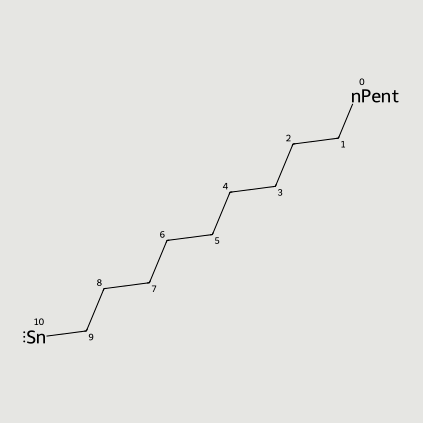 CCCCCCCCCCCCC[CH2][Sn]